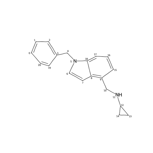 c1ccc(Cn2ccc3c(CNC4CC4)cccc32)cc1